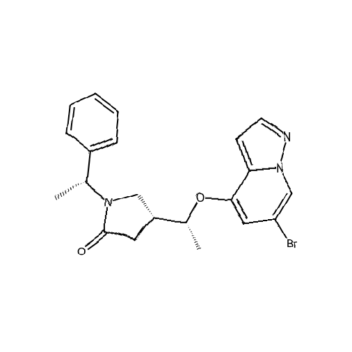 C[C@H](c1ccccc1)N1C[C@H]([C@@H](C)Oc2cc(Br)cn3nccc23)CC1=O